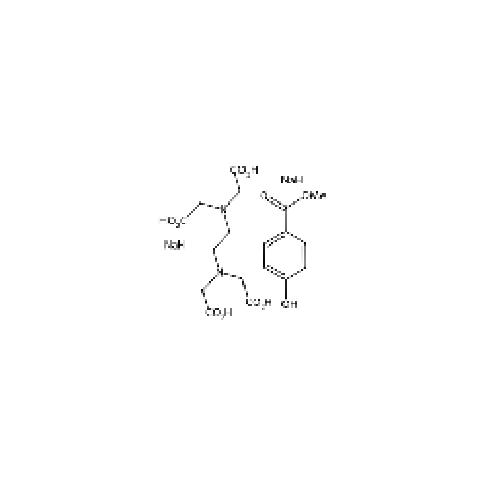 COC(=O)c1ccc(O)cc1.O=C(O)CN(CCN(CC(=O)O)CC(=O)O)CC(=O)O.[NaH].[NaH]